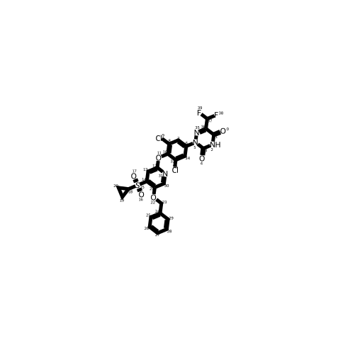 O=c1[nH]c(=O)n(-c2cc(Cl)c(Oc3cc(S(=O)(=O)C4CC4)c(OCc4ccccc4)cn3)c(Cl)c2)nc1C(F)F